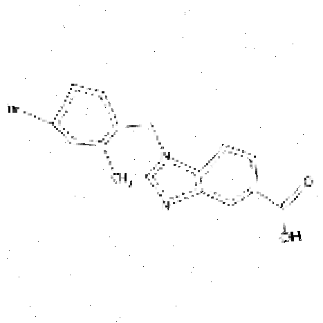 Cc1cc(Br)ccc1Cn1cnc2cc(C(=O)O)ccc21